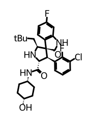 CC(C)(C)C[C@@H]1N[C@@H](C(=O)N[C@H]2CC[C@@H](O)CC2)[C@H](c2cccc(Cl)c2F)[C@]12C(=O)Nc1cc(F)ccc12